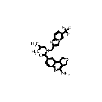 CC(C)CN(Cc1cn2cc(C(F)(F)F)ccc2n1)C(=O)c1ccc2nc(N)c3c(c2c1)COC3